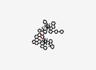 c1ccc(-c2ccc(-c3ccccc3-c3ccc4ccccc4c3-c3nc(-c4ccccc4)nc(-c4ccc(-c5cccc(-c6nc(-c7c(-c8ccc(-c9c(-c%10ccccc%10)ccc%10ccccc9%10)c9ccccc89)ccc8ccccc78)nc(-c7cccc8c7sc7ccccc78)n6)c5)c5c4sc4ccccc45)n3)cc2)cc1